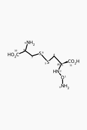 NON[C@@H](CSSCC(N)C(=O)O)C(=O)O